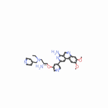 CCN(Cc1ccncc1)C[C@@H](N)COc1cncc(-c2cc3c(cnc4cc(OC)c(OC)cc43)c(N)n2)c1